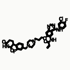 C=CC(=O)Nc1cc2c(Nc3ccc(F)c(Cl)c3)ncnc2cc1OCCCN1CCN(Cc2ccc(C3CCC(=O)NC3=O)c(F)c2)CC1